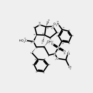 CCC(CC)ON(C[C@@H](O)[C@H](Cc1ccccc1)N(C(=O)O)[C@H]1CO[C@H]2OCC[C@H]21)S(=O)(=O)c1cccc([N+](=O)[O-])c1